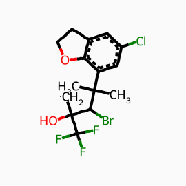 [CH2]C(O)(C(Br)C(C)(C)c1cc(Cl)cc2c1OCC2)C(F)(F)F